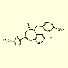 COc1ccc(CN2C(=O)CC(c3ncc(C)o3)=Cc3ccc(Br)cc32)cc1